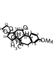 COc1ccc2c(c1)C[C@@H](C)[C@@H]1[C@@H]2C(=O)C[C@@]2(C)[C@H]1CCC21OCCO1